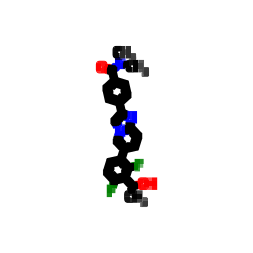 CC(O)c1c(F)ccc(-c2ccc3nc(-c4ccc(C(=O)N(C)C)cc4)cn3c2)c1F